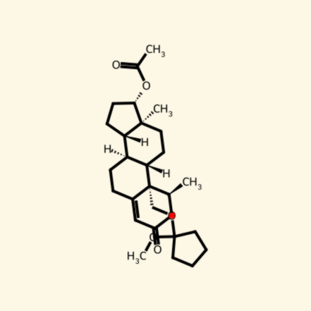 COC1(OC[C@@]23C(=CC(=O)C[C@@H]2C)CC[C@H]2[C@@H]4CC[C@H](OC(C)=O)[C@@]4(C)CC[C@@H]23)CCCC1